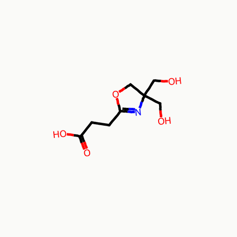 O=C(O)CCC1=NC(CO)(CO)CO1